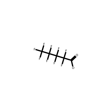 [O]C(=O)C(F)(F)C(F)(F)C(F)(F)C(F)(F)F